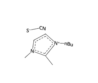 CCCC[n+]1ccn(C)c1C.N#C[S-]